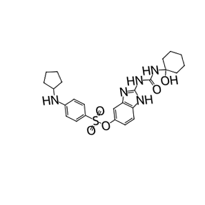 O=C(Nc1nc2cc(OS(=O)(=O)c3ccc(NC4CCCC4)cc3)ccc2[nH]1)NC1(O)CCCCC1